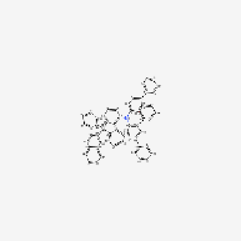 c1ccc(-c2ccc(N(c3cccc([Si](c4ccccc4)(c4ccccc4)c4ccc5ccccc5c4)c3)c3ccc(-c4ccccc4)cc3-c3ccccc3)cc2)cc1